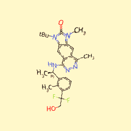 Cc1c([C@@H](C)Nc2nnc(C)c3cc4c(cc23)n(C(C)(C)C)c(=O)n4C)cccc1C(F)(F)CO